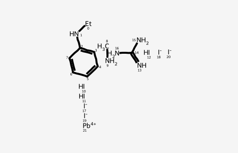 CCNc1ccccc1.CN.I.I.I.N=C(N)N.[I-].[I-].[I-].[I-].[Pb+4]